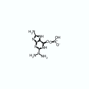 Nc1nc2nc(N(N)N)[nH]c(=O)c2[nH]1.O=[N+]([O-])O